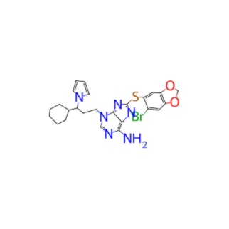 Nc1ncn(CCC(C2CCCCC2)n2cccc2)c2nc(Sc3cc4c(cc3Br)OCO4)nc1-2